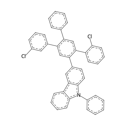 Clc1cccc(-c2cc(-c3ccc4c(c3)c3ccccc3n4-c3ccccc3)c(-c3ccccc3Cl)cc2-c2ccccc2)c1